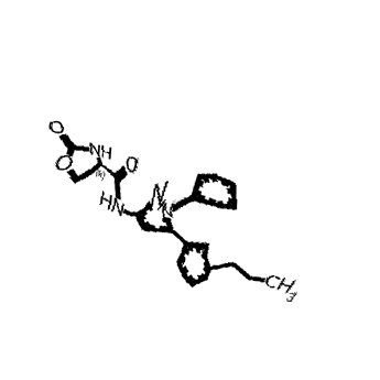 CCCc1cccc(-c2cc(NC(=O)[C@H]3COC(=O)N3)nn2-c2ccccc2)c1